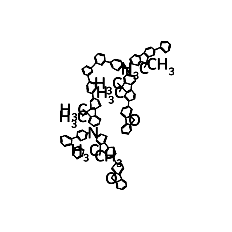 CC1(C)c2cc(-c3ccccc3)ccc2-c2ccc(N(c3ccc(-c4cccc(-c5cccc(-c6ccc(-c7ccc8c(c7)C(C)(C)c7cc(N(c9ccc(-c%10ccccc%10-c%10ccccc%10)cc9)c9ccc%10c(c9)C(C)(C)c9cc(-c%11ccc%12c(c%11)oc%11ccccc%11%12)ccc9-%10)ccc7-8)cc6)c5)c4)cc3)c3ccc4c(c3)C(C)(C)c3cc(-c5ccc6c(c5)oc5ccccc56)ccc3-4)cc21